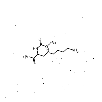 C=C(CCC)C(CPCCCCN)NC(=O)OC(C)(C)C